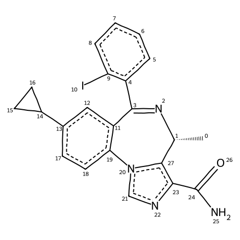 C[C@H]1N=C(c2ccccc2I)c2cc(C3CC3)ccc2-n2cnc(C(N)=O)c21